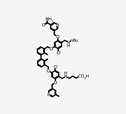 CCCCNCc1cc(Cl)c(OCc2cccc(-c3cccc(COc4cc(OCc5cncc(C)c5)c(CNCCCC(=O)O)cc4Cl)c3C)c2C)cc1OCc1cncc(C(N)=O)c1